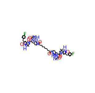 CN[C@@H](C)C(=O)N[C@@H](CC1CCN(C(=O)CCCCCCCCC(=O)N2CCC(C[C@H](NC(=O)[C@H](C)NC)C(=O)N3CC(C)(C)c4[nH]c(=O)c(Cc5ccc(F)cc5)cc43)CC2)CC1)C(=O)N1CC(C)(C)c2[nH]c(=O)c(Cc3ccc(F)cc3)cc21